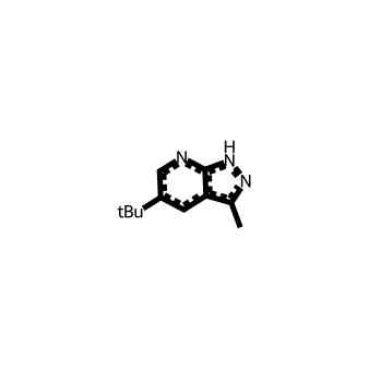 Cc1n[nH]c2ncc(C(C)(C)C)cc12